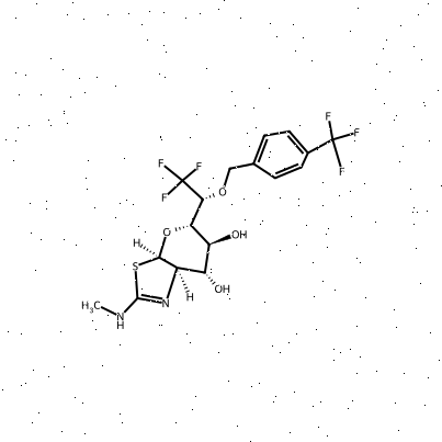 CNC1=N[C@@H]2[C@@H](O)[C@H](O)[C@@H]([C@@H](OCc3ccc(C(F)(F)F)cc3)C(F)(F)F)O[C@@H]2S1